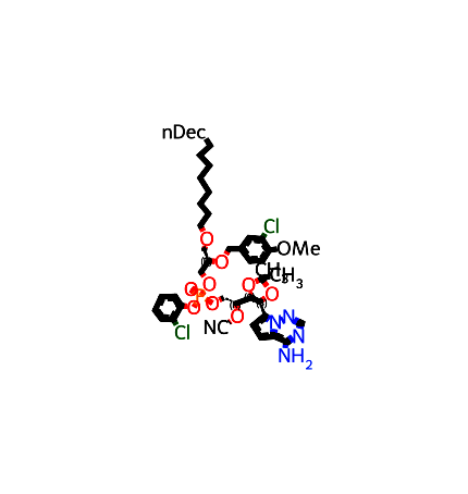 CCCCCCCCCCCCCCCCCCOC[C@H](COP(=O)(OC[C@@H](OC#N)[C@H]1OC(C)(C)O[C@H]1c1ccc2c(N)ncnn12)Oc1ccccc1Cl)OCc1ccc(OC)c(Cl)c1